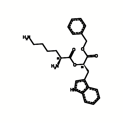 NCCCC[C@H](N)C(=O)O[C@@H](Cc1c[nH]c2ccccc12)C(=O)OCc1ccccc1